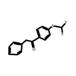 O=C(Cc1ccccc1)c1ccc(SC(F)F)cc1